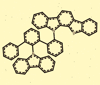 c1ccc(-c2cccc(-c3ccccc3-n3c4ccccc4c4ccc5c6ccccc6sc5c43)c2-n2c3ccccc3c3ccccc32)cc1